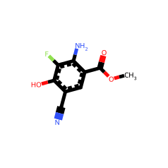 COC(=O)c1cc(C#N)c(O)c(F)c1N